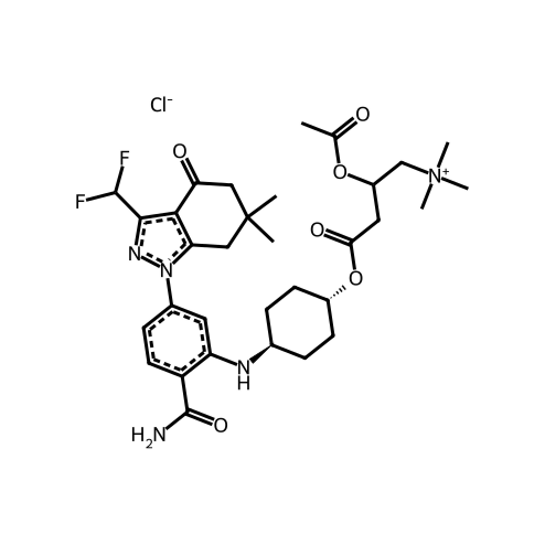 CC(=O)OC(CC(=O)O[C@H]1CC[C@H](Nc2cc(-n3nc(C(F)F)c4c3CC(C)(C)CC4=O)ccc2C(N)=O)CC1)C[N+](C)(C)C.[Cl-]